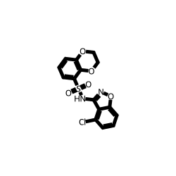 O=S(=O)(Nc1noc2cccc(Cl)c12)c1cccc2c1OCCO2